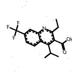 CCc1nc2cc(C(F)(F)F)ccc2c(C(C)C)c1C(=O)O